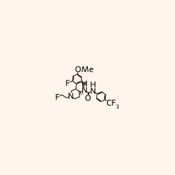 COc1cc(F)c(C2CN(CCF)CC[C@H]2NC(=O)Nc2ccc(C(F)(F)F)cc2)c(F)c1